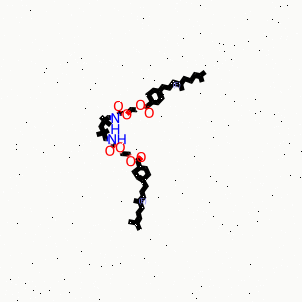 CC(C)=CCC/C(C)=C/CCC1=CCC(C(=O)OCCOC(=O)NCC(C)(C)CC(C)(C)CNC(=O)OCCOC(=O)C2CC=C(CC/C=C(\C)CCC=C(C)C)CC2)CC1